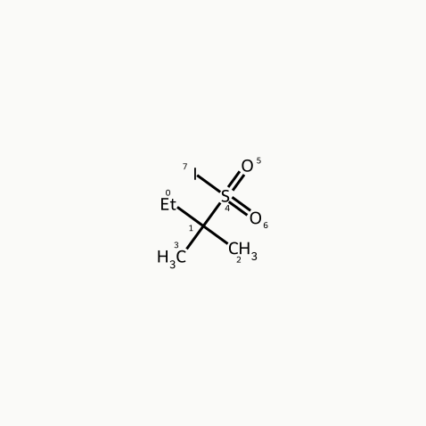 CCC(C)(C)S(=O)(=O)I